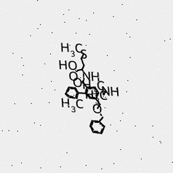 CNC.CSCCC(NC(=O)c1ccc(COCc2ccccc2)cc1-c1ccccc1C)C(=O)O